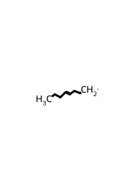 [CH2]CCC=CCCC